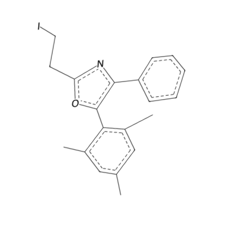 Cc1cc(C)c(-c2oc(CCI)nc2-c2ccccc2)c(C)c1